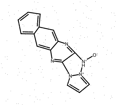 [O-][NH+]1c2nc3cc4ccccc4cc3nc2-n2ccc[n+]21